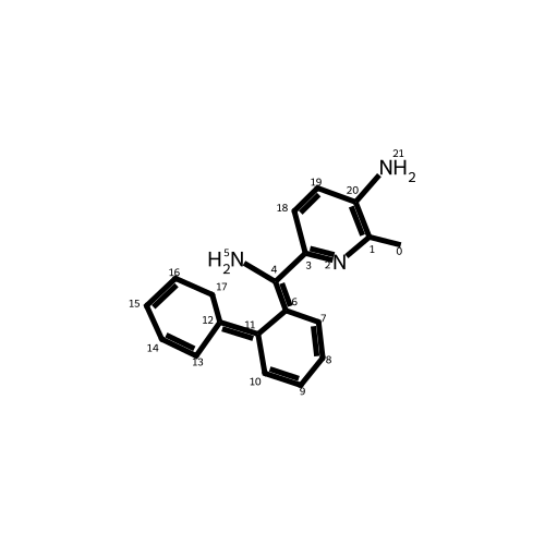 Cc1nc(/C(N)=c2\cccc\c2=C2/C=CC=CC2)ccc1N